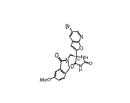 COc1ccc2c(c1)C(=O)N(C[C@@]1(c3cc4cc(Br)cnc4o3)NC(=O)NC1=O)C2